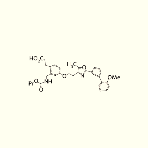 COc1ccccc1-c1cccc(-c2nc(CCOc3ccc(CCC(=O)O)c(CNC(=O)OC(C)C)c3)c(C)o2)c1